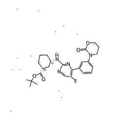 CC(C)(C)OC(=O)[C@@H]1CCC[C@H](Nc2ncc(F)c(-c3cccc(N4CCCOC4=O)c3)n2)C1